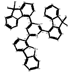 CC1(C)c2ccccc2-c2c(-c3cc(-c4cccc5c4oc4ccccc45)nc(-c4cccc5c4-c4ccccc4C5(C)C)n3)cccc21